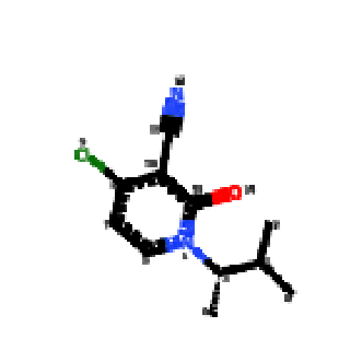 CC(C)[C@H](C)n1ccc(Cl)c(C#N)c1=O